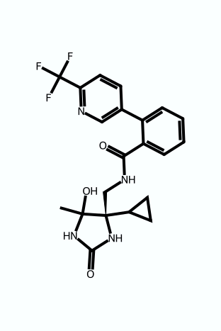 CC1(O)NC(=O)N[C@@]1(CNC(=O)c1ccccc1-c1ccc(C(F)(F)F)nc1)C1CC1